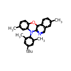 Cc1ccc2c(c1)N(c1c(C)cc(C(C)(C)C)cc1C)c1ncc3cc(C)ccc3c1O2